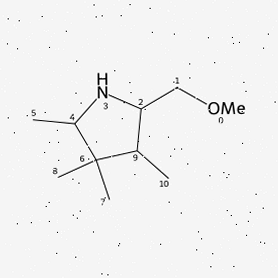 COCC1NC(C)C(C)(C)C1C